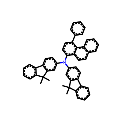 CC1(C)c2ccccc2-c2ccc(N(c3ccc4c(c3)C(C)(C)c3ccccc3-4)c3ccc(-c4ccccc4)c4c3ccc3ccccc34)cc21